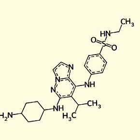 CCNS(=O)(=O)c1ccc(Nc2c(C(C)C)c(NC3CCC(N)CC3)nn3ccnc23)cc1